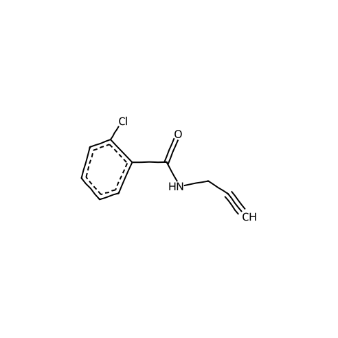 C#CCNC(=O)c1ccccc1Cl